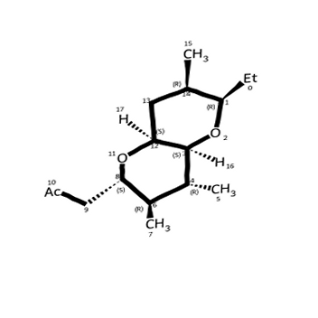 CC[C@H]1O[C@H]2[C@H](C)[C@@H](C)[C@H](CC(C)=O)O[C@H]2C[C@H]1C